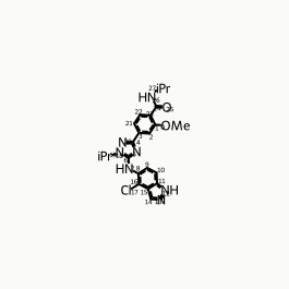 COc1cc(-c2nc(Nc3ccc4[nH]ncc4c3Cl)n(C(C)C)n2)ccc1C(=O)NC(C)C